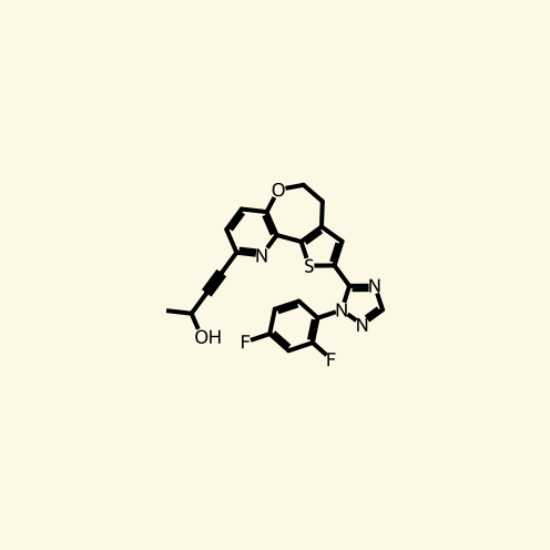 CC(O)C#Cc1ccc2c(n1)-c1sc(-c3ncnn3-c3ccc(F)cc3F)cc1CCO2